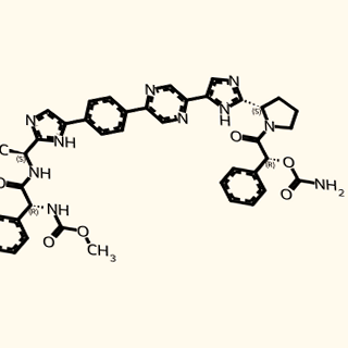 COC(=O)N[C@@H](C(=O)N[C@@H](C)c1ncc(-c2ccc(-c3cnc(-c4cnc([C@@H]5CCCN5C(=O)[C@H](OC(N)=O)c5ccccc5)[nH]4)cn3)cc2)[nH]1)c1ccccc1